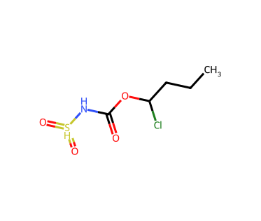 CCCC(Cl)OC(=O)N[SH](=O)=O